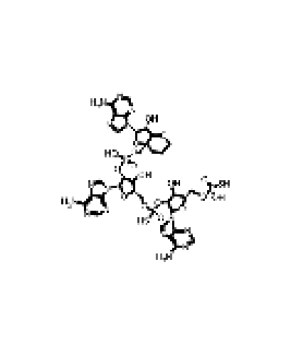 Nc1ncnc2c1ncn2[C@@H]1O[C@@]2(COP(=O)(O)O[C@H]3C(O)[C@@H](COP(=O)(S)O[C@H]4C(O)[C@@H](COP(=O)(O)S)O[C@H]4n4cnc5c(N)ncnc54)O[C@H]3n3cnc4c(N)ncnc43)CCCOC2[C@@H]1O